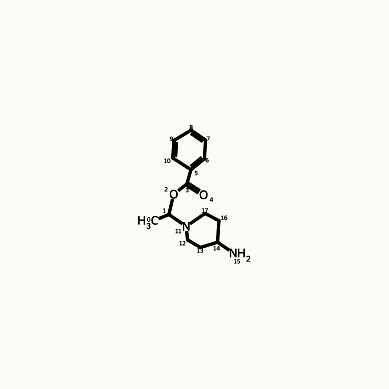 CC(OC(=O)c1ccccc1)N1CCC(N)CC1